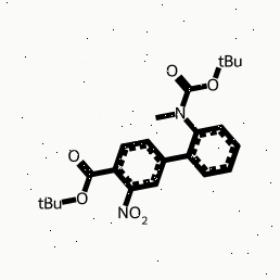 CN(C(=O)OC(C)(C)C)c1ccccc1-c1ccc(C(=O)OC(C)(C)C)c([N+](=O)[O-])c1